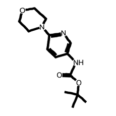 CC(C)(C)OC(=O)Nc1ccc(N2CCOCC2)nc1